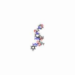 CC(C)CC(OC(=O)NCc1ccccc1)C(=O)NC1(C#N)CCCN(C(=O)CCN2CCOCC2)CC1